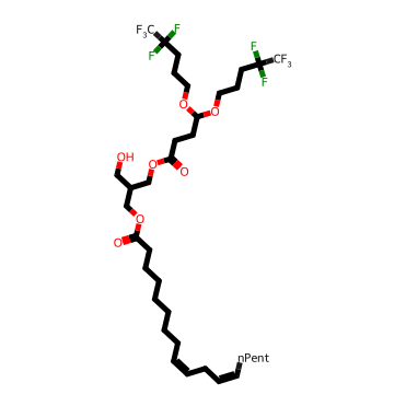 CCCCC/C=C\C/C=C\CCCCCCCC(=O)OCC(CO)COC(=O)CCC(OCCCC(F)(F)C(F)(F)F)OCCCC(F)(F)C(F)(F)F